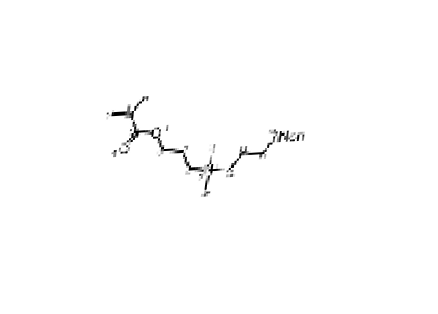 C=C(C)C(=O)OCCC[N+](C)(C)CCCCCCCCCCCC